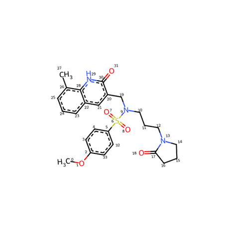 COc1ccc(S(=O)(=O)N(CCCN2CCCC2=O)Cc2cc3cccc(C)c3[nH]c2=O)cc1